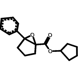 O=C(OC1CCCC1)C12CCCC1(c1ccccc1)O2